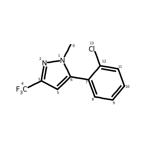 Cn1nc(C(F)(F)F)cc1-c1ccccc1Cl